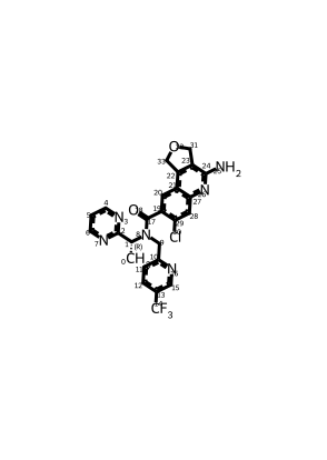 C[C@H](c1ncccn1)N(Cc1ccc(C(F)(F)F)cn1)C(=O)c1cc2c3c(c(N)nc2cc1Cl)COC3